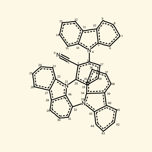 N#Cc1c(-n2c3ccccc3c3ccccc32)cccc1-n1c2ccccc2c2cccc(-n3c4ccccc4c4ccccc43)c21